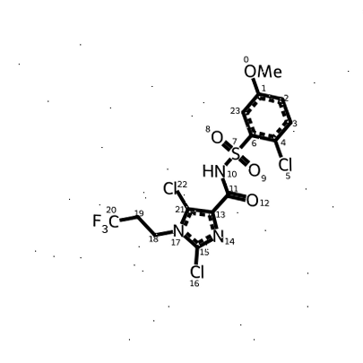 COc1ccc(Cl)c(S(=O)(=O)NC(=O)c2nc(Cl)n(CCC(F)(F)F)c2Cl)c1